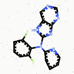 Fc1[c]ccc(F)c1N(c1ccccn1)c1nc2ncncc2[nH]1